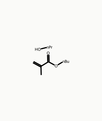 C=C(C)C(=O)OCCCC.CCCO